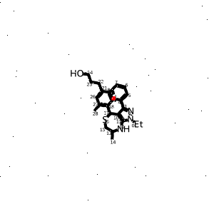 CCn1nc(-c2ccccn2)c2c1NC(C)CSC2c1ccc(CCCO)cc1C